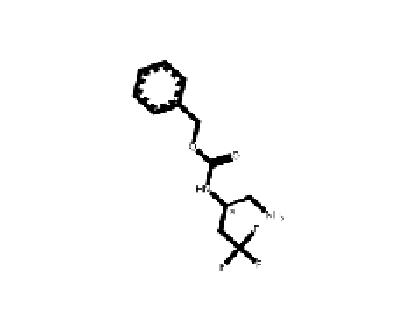 NC[C@@H](CC(F)(F)F)NC(=O)OCc1ccccc1